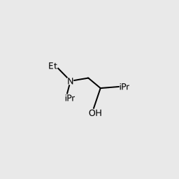 CCN(CC(O)C(C)C)C(C)C